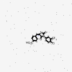 O=C(O)c1ccc(/C=C2/SC(=S)N(c3ccc(Cl)c(C(F)(F)F)c3)C2=O)cc1